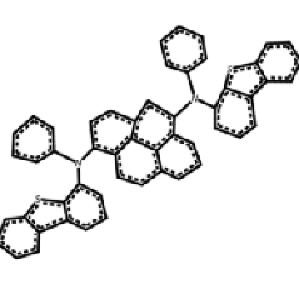 c1ccc(N(c2cc3ccc(N(c4ccccc4)c4cccc5c4sc4ccccc45)c4ccc5cccc2c5c34)c2cccc3c2sc2ccccc23)cc1